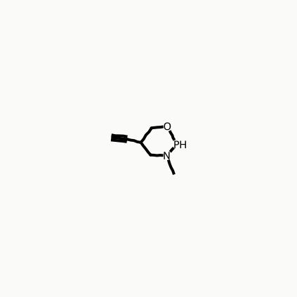 C#CC1COPN(C)C1